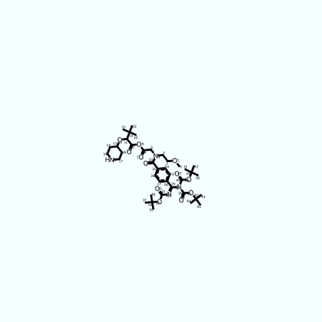 COCCN(CC(=O)OC(=O)C(OC1CCNCC1)C(C)(C)C)C(=O)c1ccc(C(=NC(=O)OC(C)(C)C)N(C(=O)OC(C)(C)C)C(=O)OC(C)(C)C)cc1